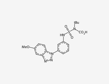 COc1ccc2c(c1)nnn2-c1cccc(NS(=O)(=O)N(C(=O)O)C(C)(C)C)c1